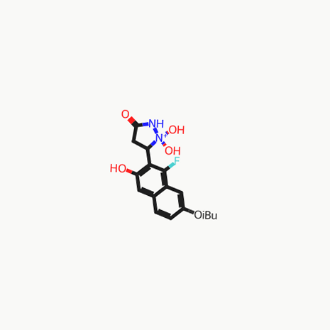 CC(C)COc1ccc2cc(O)c(C3CC(=O)N[N+]3(O)O)c(F)c2c1